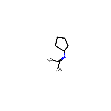 CC(C)=NC1CCCC1